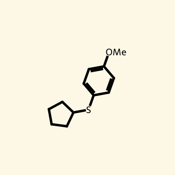 COc1ccc(SC2CCCC2)cc1